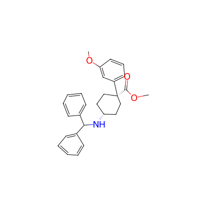 COc1cccc([C@]2(C(=O)OC)CC[C@@H](NC(c3ccccc3)c3ccccc3)CC2)c1